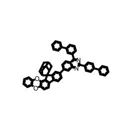 c1ccc(-c2ccc(-c3nc(-c4cccc(-c5ccccc5)c4)c4ccc(-c5ccc6c(c5)C5(c7c-6ccc6c7Oc7ccccc7O6)C6CC7CC(C6)CC5C7)cc4n3)cc2)cc1